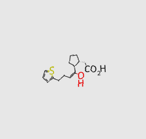 O=C(O)C[C@H]1CCC[C@@H]1/C(O)=C\CCc1cccs1